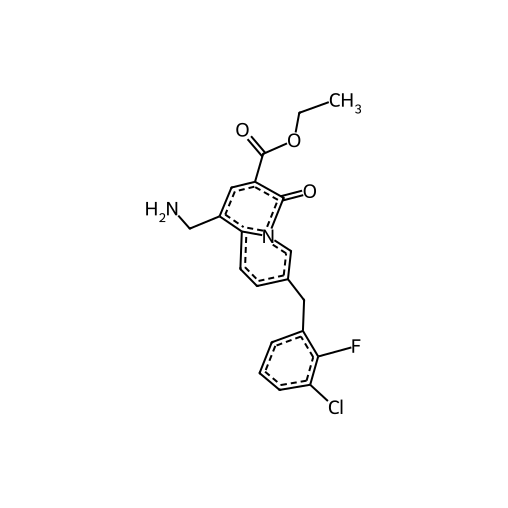 CCOC(=O)c1cc(CN)c2ccc(Cc3cccc(Cl)c3F)cn2c1=O